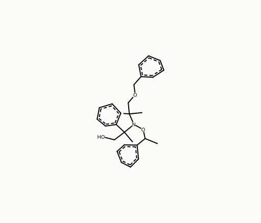 CC(ON(C(C)(C)COCc1ccccc1)C(C)(CO)c1ccccc1)c1ccccc1